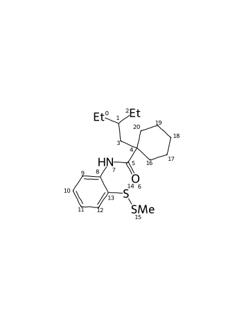 CCC(CC)CC1(C(=O)Nc2ccccc2SSC)CCCCC1